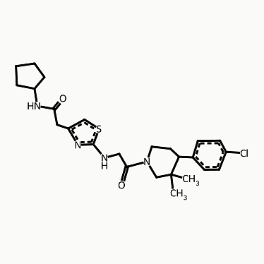 CC1(C)CN(C(=O)CNc2nc(CC(=O)NC3CCCC3)cs2)CCC1c1ccc(Cl)cc1